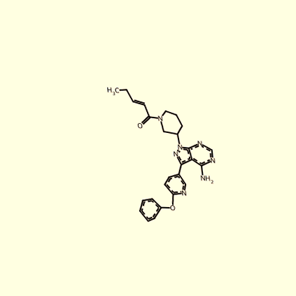 CCC=CC(=O)N1CCCC(n2nc(-c3ccc(Oc4ccccc4)nc3)c3c(N)ncnc32)C1